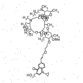 CC[C@H]1OC(=O)[C@H](C)[C@@H](O[C@H]2C[C@@](C)(OC)[C@@H](OCCCOCC=Cc3ccc4c(c3)c(=O)c(C(=O)O)cn4C3CC3)[C@H](C)O2)[C@H](C)[C@@H](O[C@@H]2O[C@H](C)C[C@H](N(C)C)[C@H]2O)[C@](C)(O)C[C@@H](C)CN(C)[C@H](C)[C@@H](O)[C@]1(C)O